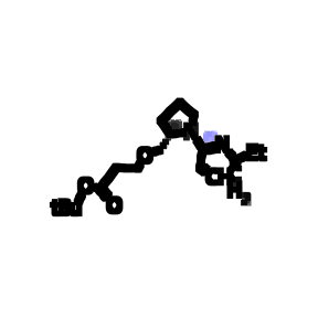 C=C/C(=N\C(=C)CC)N1CCC[C@H]1COCCC(=O)OC(C)(C)C